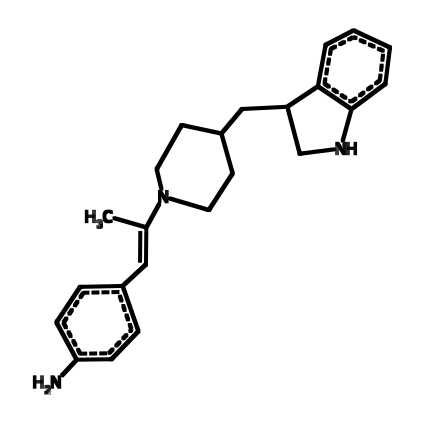 CC(=Cc1ccc(N)cc1)N1CCC(CC2CNc3ccccc32)CC1